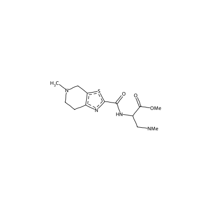 CNCC(NC(=O)c1nc2c(s1)CN(C)CC2)C(=O)OC